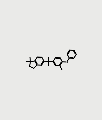 Cc1cc(C(C)(C)c2ccc3c(c2)CCC3(C)C)ccc1Oc1ccccc1